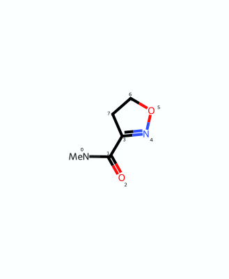 CNC(=O)C1=NO[C]C1